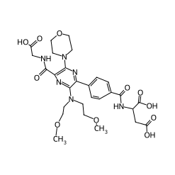 COCCN(CCOC)c1nc(C(=O)NCC(=O)O)c(N2CCOCC2)nc1-c1ccc(C(=O)NC(CC(=O)O)C(=O)O)cc1